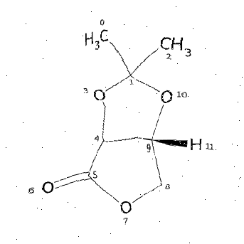 CC1(C)OC2C(=O)OC[C@H]2O1